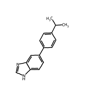 CC(C)c1ccc(-c2ccc3[nH]cnc3c2)cc1